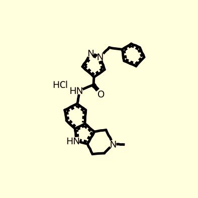 CN1CCc2[nH]c3ccc(NC(=O)c4cnn(Cc5ccccc5)c4)cc3c2C1.Cl